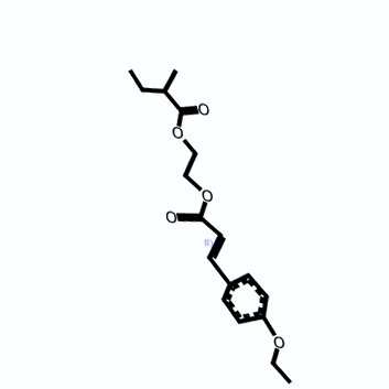 CCOc1ccc(/C=C/C(=O)OCCOC(=O)C(C)CC)cc1